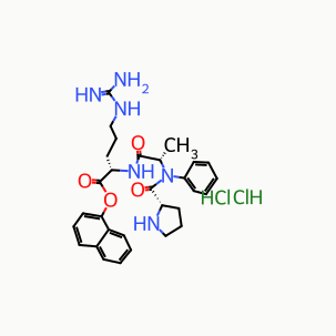 C[C@@H](C(=O)N[C@@H](CCCNC(=N)N)C(=O)Oc1cccc2ccccc12)N(C(=O)[C@@H]1CCCN1)c1ccccc1.Cl.Cl